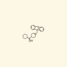 O[C@@H](C1CCCCC1)C1CCN(CC23CC(c4ccccc42)c2ccccc23)CC1